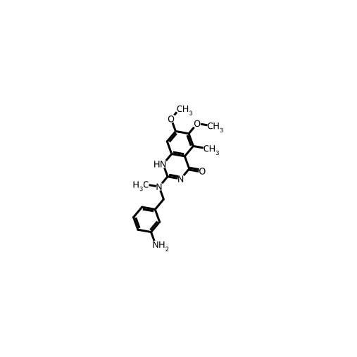 COc1cc2[nH]c(N(C)Cc3cccc(N)c3)nc(=O)c2c(C)c1OC